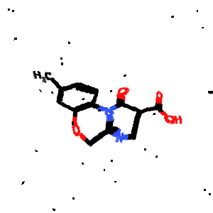 Cc1ccc2c(c1)OCc1ncc(C(=O)O)c(=O)n1-2